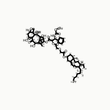 C/C=C1/C[C@@H](OC(=O)COCC(=O)O[C@@H](C(=O)O[C@H]2C[C@@]3(O)[C@@H](O)C4[C@]5(O)CO[C@@H]5C[C@H](O)[C@@]4(C)C(=O)[C@H](O)C(=C2C)C3(C)C)[C@@H](NC(=O)OC(C)(C)C)c2ccccc2)CC[C@]1(C)[C@H]1CC[C@@]2(C)[C@@H](CC[C@@H]2[C@H](C)CCCC(C)C)C1